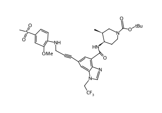 COc1cc(S(C)(=O)=O)ccc1NCC#Cc1cc(C(=O)N[C@@H]2CCN(C(=O)OC(C)(C)C)C[C@@H]2C)c2ncn(CC(F)(F)F)c2c1